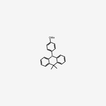 COc1ccc(N2c3ccccc3C(C)(C)c3ccccc32)cc1